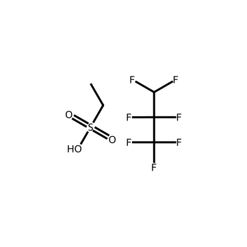 CCS(=O)(=O)O.FC(F)C(F)(F)C(F)(F)F